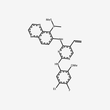 C=Cc1cnc(Nc2cc(CC)c(F)cc2OC)nc1Nc1ccc2nccnc2c1N(C)SC